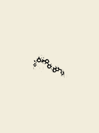 Cc1c(Nc2nccc3cc(CN4CC[C@@H](O)C4)cnc23)cccc1-c1cccc(-c2nc3cc(N(C)[C@H]4C[C@@H](C(=O)O)C4)cc(C#N)c3o2)c1C